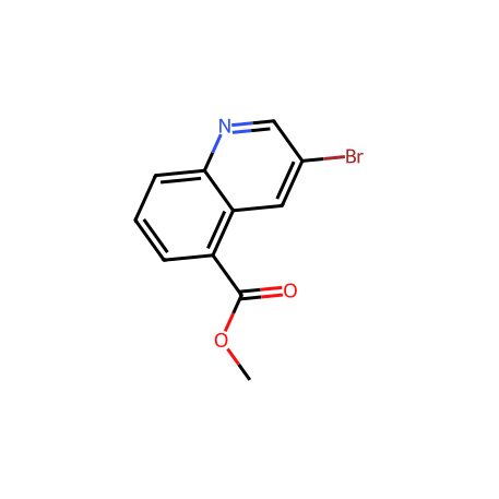 COC(=O)c1cccc2ncc(Br)cc12